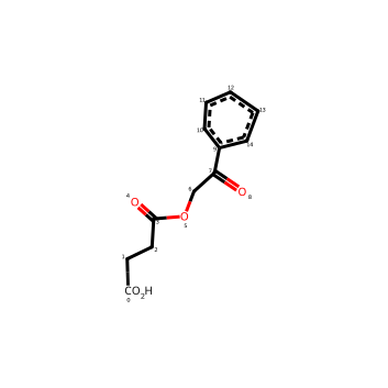 O=C(O)CCC(=O)OCC(=O)c1ccccc1